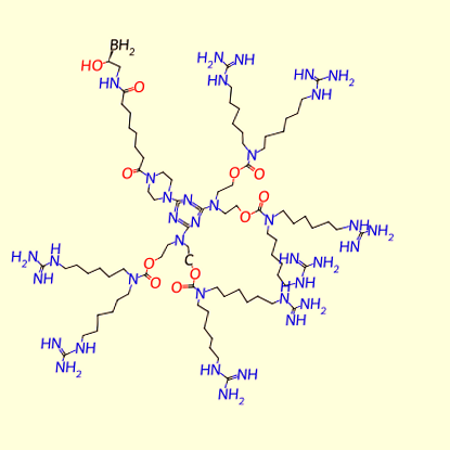 B[C@H](O)CNC(=O)CCCCCCC(=O)N1CCN(c2nc(N(CCOC(=O)N(CCCCCCNC(=N)N)CCCCCCNC(=N)N)CCOC(=O)N(CCCCCCNC(=N)N)CCCCCCNC(=N)N)nc(N(CCOC(=O)N(CCCCCCNC(=N)N)CCCCCCNC(=N)N)CCOC(=O)N(CCCCCCNC(=N)N)CCCCCCNC(=N)N)n2)CC1